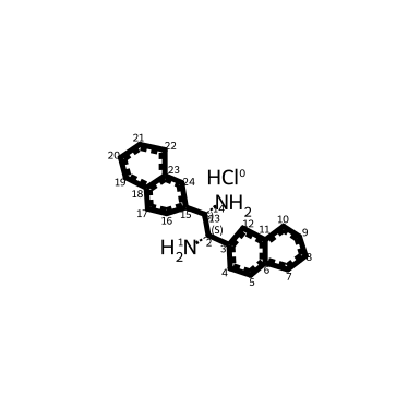 Cl.N[C@@H](c1ccc2ccccc2c1)[C@@H](N)c1ccc2ccccc2c1